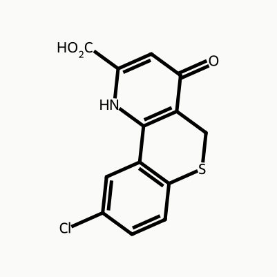 O=C(O)c1cc(=O)c2c([nH]1)-c1cc(Cl)ccc1SC2